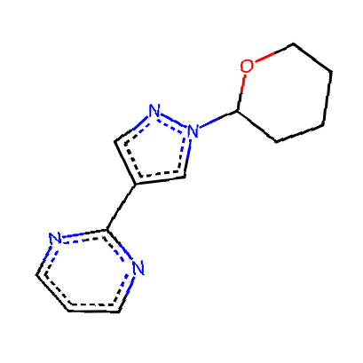 c1cnc(-c2cnn(C3CCCCO3)c2)nc1